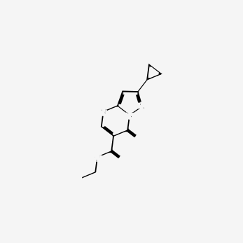 CCOC(=O)c1c[nH]c2cc(C3CC3)nn2c1=O